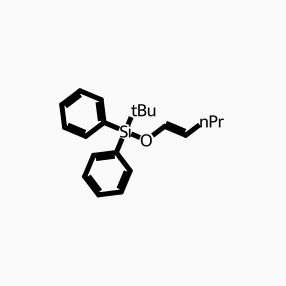 CCC/C=C/O[Si](c1ccccc1)(c1ccccc1)C(C)(C)C